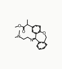 COC(=O)C(C)c1ccc2c(c1)C(=NCCN(C)C)c1ccccc1CO2